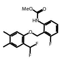 COC(=O)Nc1cccc(F)c1COc1cc(C)c(C)cc1C(F)F